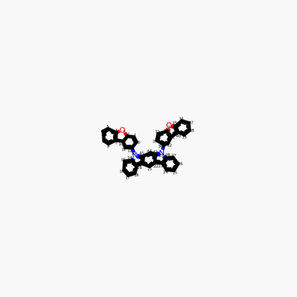 C1=CC2Oc3ccccc3C2C=C1n1c2ccccc2c2cc3c4ccccc4n(-c4ccc5oc6ccccc6c5c4)c3cc21